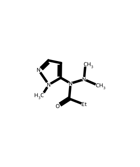 CCC(=O)N(c1c[c]nn1C)N(C)C